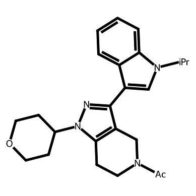 CC(=O)N1CCc2c(c(-c3cn(C(C)C)c4ccccc34)nn2C2CCOCC2)C1